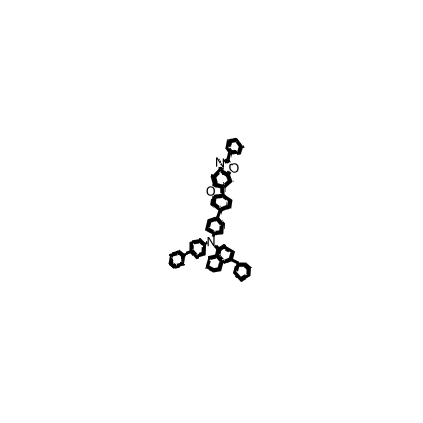 c1ccc(-c2ccc(N(c3ccc(-c4ccc5c(c4)oc4cc6nc(-c7ccccc7)oc6cc45)cc3)c3ccc(-c4ccccc4)c4ccccc34)cc2)cc1